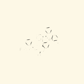 CCOC(=O)C(COC(=O)Cc1ccc(NC(=O)c2ccccc2-c2ccc(C(F)(F)F)cc2)c(N2CCOCC2)c1)(C(=O)OCC)c1ccccc1